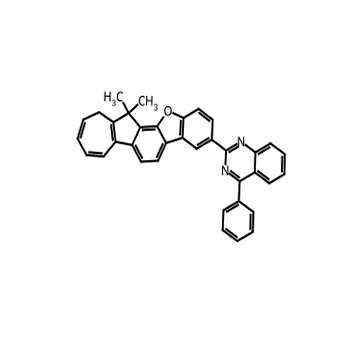 CC1(C)C2=C(C=CC=CC2)c2ccc3c(oc4ccc(-c5nc(-c6ccccc6)c6ccccc6n5)cc43)c21